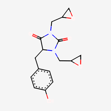 O=C1C(Cc2ccc(O)cc2)N(CC2CO2)C(=O)N1CC1CO1